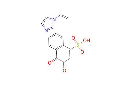 C=Cn1ccnc1.O=C1C=C(S(=O)(=O)O)c2ccccc2C1=O